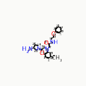 Cc1cccc(N(CC(=O)NCCOc2ccccc2)CC(=O)N2CCC(N)C2)c1